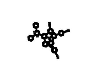 N#Cc1ccc(-c2ccc3c(c2)c2cc(-c4ccc(C#N)cc4)ccc2n3-c2c(-c3cccc(C#N)c3)cc(-c3cc(-c4ccccc4)nc(-c4ccccc4)n3)cc2-c2cccc(C#N)c2)cc1